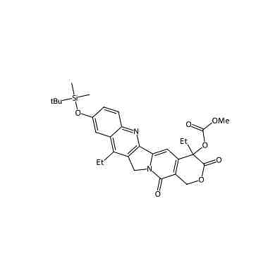 CCc1c2c(nc3ccc(O[Si](C)(C)C(C)(C)C)cc13)-c1cc3c(c(=O)n1C2)COC(=O)C3(CC)OC(=O)OC